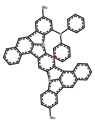 CC(C)(C)c1ccc2c(c1)c1cc3ccccc3c3c4nc5c(cc4n2c13)c1c2ccccc2cc2c3cc(C(C)(C)C)cc(N(c4ccccc4)c4ccccc4)c3n5c21